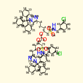 O=C(OC(CCCc1cn(C(c2ccccc2)(c2ccccc2)c2ccccc2)cn1)CS(=O)(=O)NCc1cccc(Cl)c1)OC(CCCc1cn(C(c2ccccc2)(c2ccccc2)c2ccccc2)cn1)CS(=O)(=O)NCc1cccc(Cl)c1